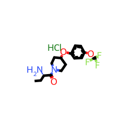 CC[C@H](N)C(=O)N1CCC(Oc2ccc(OC(F)(F)F)cc2)CC1.Cl